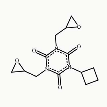 O=c1n(CC2CO2)c(=O)n(C2CCC2)c(=O)n1CC1CO1